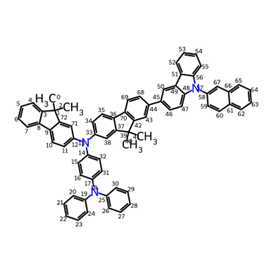 CC1(C)c2ccccc2-c2ccc(N(c3ccc(N(c4ccccc4)c4ccccc4)cc3)c3ccc4c(c3)C(C)(C)c3cc(-c5ccc6c(c5)c5ccccc5n6-c5ccc6ccccc6c5)ccc3-4)cc21